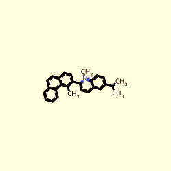 Cc1c(-c2ccc3cc(C(C)C)ccc3[n+]2C)ccc2ccc3ccccc3c12